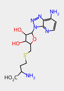 Nc1ccnc2c1nnn2C1OC(CSCCC(N)C(=O)O)C(O)C1O